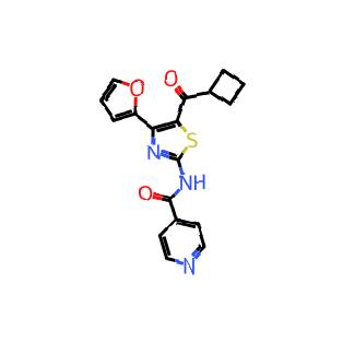 O=C(Nc1nc(-c2ccco2)c(C(=O)C2CCC2)s1)c1ccncc1